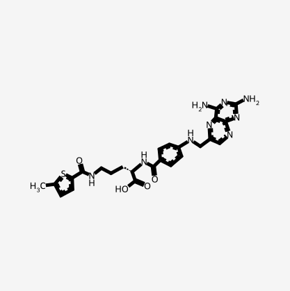 Cc1ccc(C(=O)NCCC[C@H](NC(=O)c2ccc(NCc3cnc4nc(N)nc(N)c4n3)cc2)C(=O)O)s1